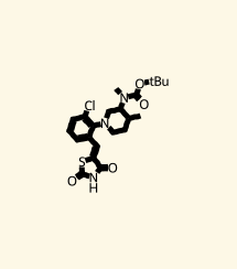 CC1CCN(c2c(Cl)cccc2/C=C2\SC(=O)NC2=O)CC1N(C)C(=O)OC(C)(C)C